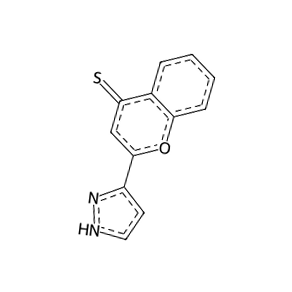 S=c1cc(-c2cc[nH]n2)oc2ccccc12